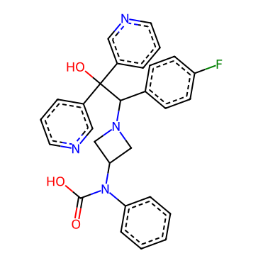 O=C(O)N(c1ccccc1)C1CN(C(c2ccc(F)cc2)C(O)(c2cccnc2)c2cccnc2)C1